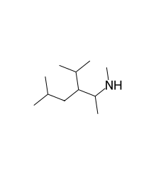 CNC(C)C(CC(C)C)C(C)C